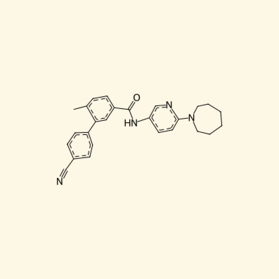 Cc1ccc(C(=O)Nc2ccc(N3CCCCCC3)nc2)cc1-c1ccc(C#N)cc1